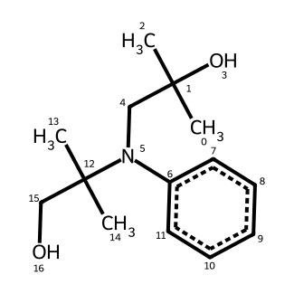 CC(C)(O)CN(c1ccccc1)C(C)(C)CO